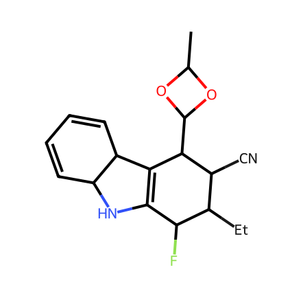 CCC1C(F)C2=C(C3C=CC=CC3N2)C(C2OC(C)O2)C1C#N